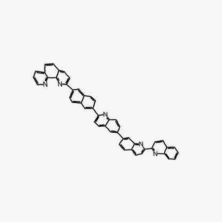 c1ccc2nc(-c3ccc4ccc(-c5ccc6nc(-c7ccc8cc(-c9ccc%10ccc%11cccnc%11c%10n9)ccc8c7)ccc6c5)cc4n3)ccc2c1